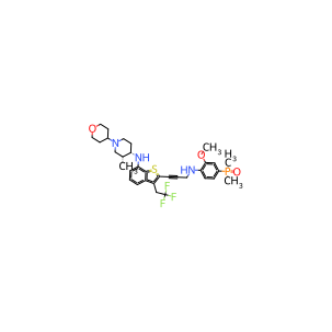 COc1cc(P(C)(C)=O)ccc1NCC#Cc1sc2c(N[C@H]3CCN(C4CCOCC4)C[C@H]3C)cccc2c1CC(F)(F)F